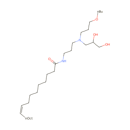 CCCCCCCC/C=C\CCCCCCCC(=O)NCCCN(CCCOCCCC)CC(O)CO